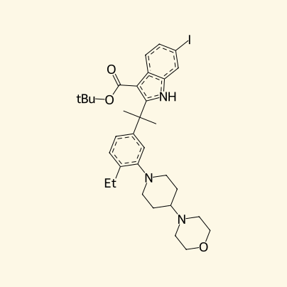 CCc1ccc(C(C)(C)c2[nH]c3cc(I)ccc3c2C(=O)OC(C)(C)C)cc1N1CCC(N2CCOCC2)CC1